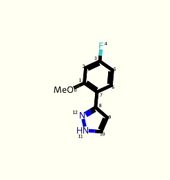 COc1cc(F)ccc1-c1cc[nH]n1